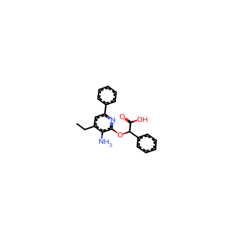 CCc1cc(-c2ccccc2)nc(OC(C(=O)O)c2ccccc2)c1N